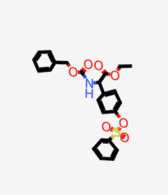 CCOC(=O)C(NC(=O)OCc1ccccc1)c1ccc(OS(=O)(=O)c2ccccc2)cc1